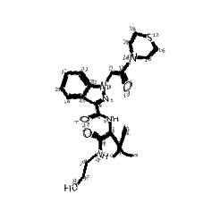 CC(C)(C)C(NC(=O)c1nn(CC(=O)N2CCSCC2)c2ccccc12)C(=O)NCCO